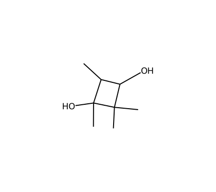 CC1C(O)C(C)(C)C1(C)O